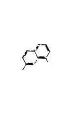 [CH2]c1ccc2cccc(C(F)(F)F)c2c1